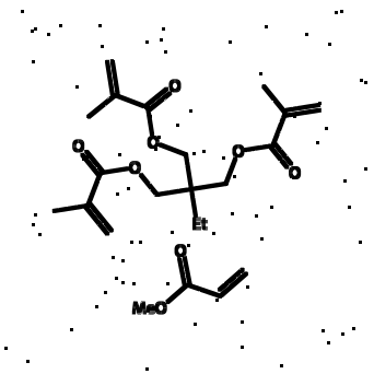 C=C(C)C(=O)OCC(CC)(COC(=O)C(=C)C)COC(=O)C(=C)C.C=CC(=O)OC